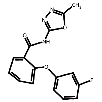 Cc1nnc(NC(=O)c2ccccc2Oc2cccc(F)c2)o1